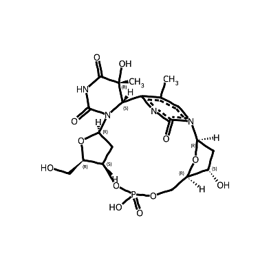 Cc1cn2c(=O)nc1[C@@H]1N(C(=O)NC(=O)[C@]1(C)O)[C@H]1C[C@H](OP(=O)(O)OC[C@H]3O[C@@H]2C[C@@H]3O)[C@@H](CO)O1